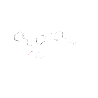 CCCCCNC(=O)N(CCc1ccccc1)c1ccc(Sc2ccc(CC(=O)O)cc2)cc1